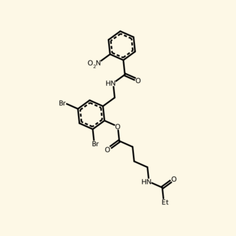 CCC(=O)NCCCC(=O)Oc1c(Br)cc(Br)cc1CNC(=O)c1ccccc1[N+](=O)[O-]